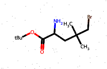 CC(C)(CBr)CC(N)C(=O)OC(C)(C)C